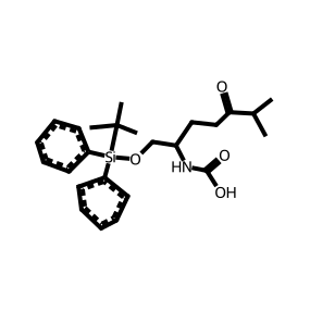 CC(C)C(=O)CCC(CO[Si](c1ccccc1)(c1ccccc1)C(C)(C)C)NC(=O)O